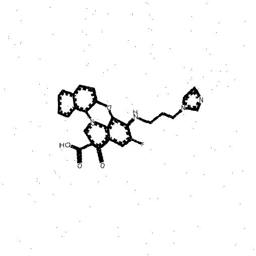 O=C(O)c1cn2c3c(c(NCCCn4ccnc4)c(F)cc3c1=O)Oc1ccc3ccccc3c1-2